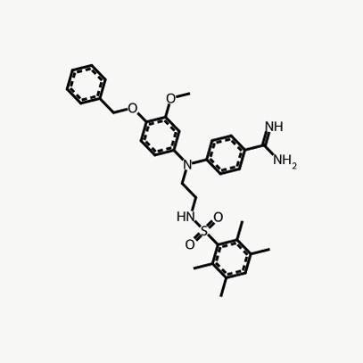 COc1cc(N(CCNS(=O)(=O)c2c(C)c(C)cc(C)c2C)c2ccc(C(=N)N)cc2)ccc1OCc1ccccc1